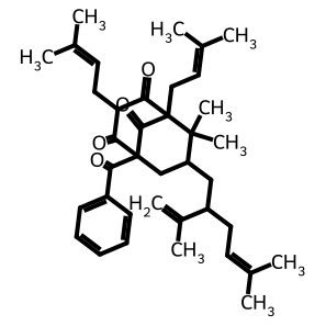 C=C(C)C(CC=C(C)C)CC1CC2(C(=O)c3ccccc3)C(=O)C(CC=C(C)C)C(=O)C(CC=C(C)C)(C2=O)C1(C)C